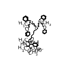 COC(=O)C1=C(C)NC(C)C(CCCCCCN(CCN(Cc2ccccc2)C(C)COc2ccccc2)CCN(Cc2ccccc2)C(C)COc2ccccc2)(C(=O)O)C1c1cccc([N+](=O)[O-])c1